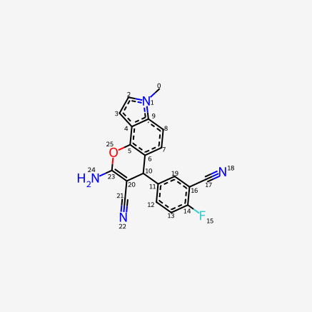 Cn1ccc2c3c(ccc21)C(c1ccc(F)c(C#N)c1)C(C#N)=C(N)O3